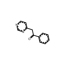 O=C(Cc1ccncn1)c1ccccc1